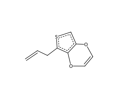 C=CCc1scc2c1OC=CO2